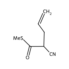 C=CCC(C#N)C(=O)SC